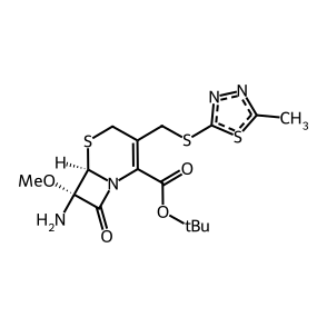 CO[C@@]1(N)C(=O)N2C(C(=O)OC(C)(C)C)=C(CSc3nnc(C)s3)CS[C@@H]21